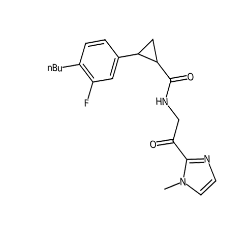 CCCCc1ccc(C2CC2C(=O)NCC(=O)c2nccn2C)cc1F